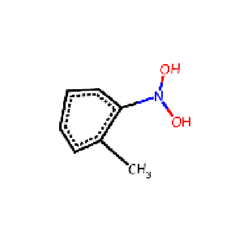 Cc1ccccc1N(O)O